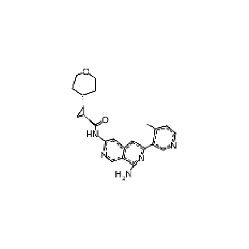 Cc1ccncc1-c1cc2cc(NC(=O)[C@H]3C[C@@H]3C3CCOCC3)ncc2c(N)n1